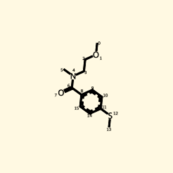 COCCN(C)C(=O)c1ccc(SC)cc1